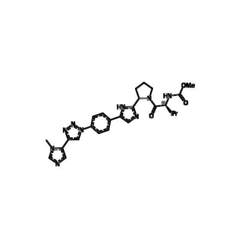 COC(=O)N[C@H](C(=O)N1CCCC1c1ncc(-c2ccc(-n3cc(-c4cncn4C)nn3)cc2)[nH]1)C(C)C